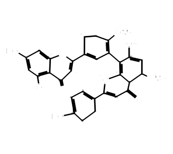 COC1=C(C2=C3OC(C4=CC=C(O)CC4)=CC(=O)C3C(OC)C=C2O)C=C(c2cc(=O)c3c(O)cc(O)cc3o2)CC1